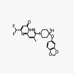 [2H]C1(Oc2ccc3c(c2)OCO3)CCN(c2nn3c(=O)cc(C(F)F)nc3cc2C)CC1